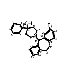 OC1(c2ccccc2)CCN(C2c3ccccc3COc3ccc(Br)cc32)CC1